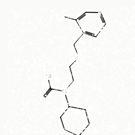 Cc1ccccc1COCCN(C(N)=O)C1CCCCC1